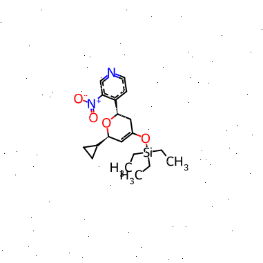 CC[Si](CC)(CC)OC1=C[C@@H](C2CC2)O[C@@H](c2ccncc2[N+](=O)[O-])C1